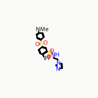 CNc1ccc(S(=O)(=O)c2ccc(C(C)C)c(S(=O)(=O)NCCn3ccnc3)c2)cc1